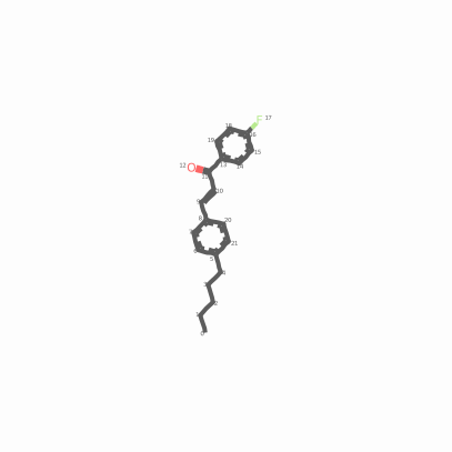 CCCCCc1ccc(C=CC(=O)c2ccc(F)cc2)cc1